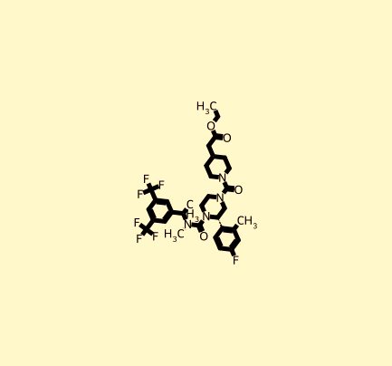 CCOC(=O)CC1CCN(C(=O)N2CCN(C(=O)N(C)C(C)c3cc(C(F)(F)F)cc(C(F)(F)F)c3)[C@@H](c3ccc(F)cc3C)C2)CC1